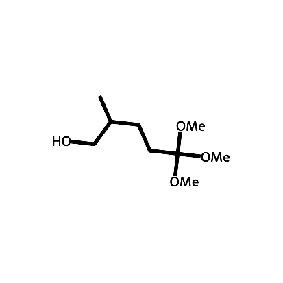 COC(CCC(C)CO)(OC)OC